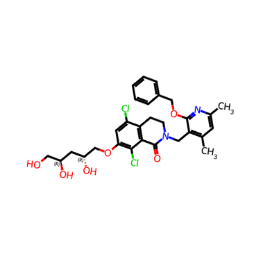 Cc1cc(C)c(CN2CCc3c(Cl)cc(OC[C@H](O)C[C@@H](O)CO)c(Cl)c3C2=O)c(OCc2ccccc2)n1